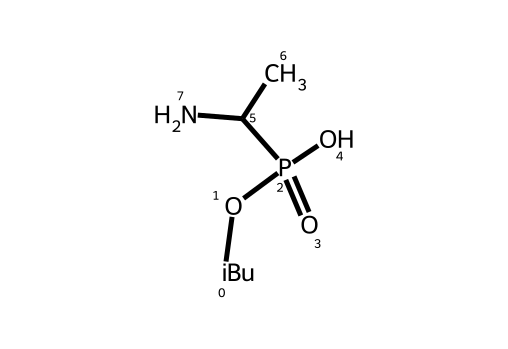 CCC(C)OP(=O)(O)C(C)N